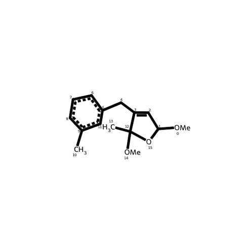 COC1C=C(Cc2cccc(C)c2)C(C)(OC)O1